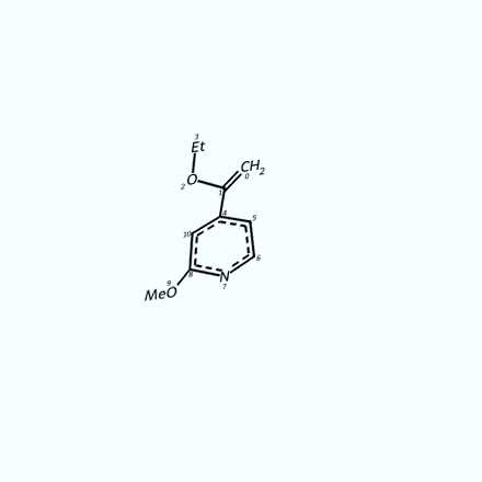 C=C(OCC)c1ccnc(OC)c1